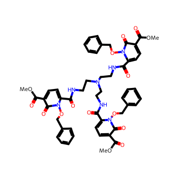 COC(=O)c1ccc(C(=O)NCCN(CCNC(=O)c2ccc(C(=O)OC)c(=O)n2OCc2ccccc2)CCNC(=O)c2ccc(C(=O)OC)c(=O)n2OCc2ccccc2)n(OCc2ccccc2)c1=O